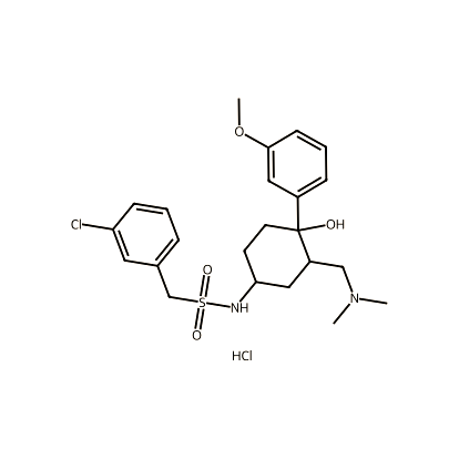 COc1cccc(C2(O)CCC(NS(=O)(=O)Cc3cccc(Cl)c3)CC2CN(C)C)c1.Cl